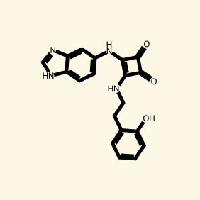 O=c1c(NCCc2ccccc2O)c(Nc2ccc3[nH]cnc3c2)c1=O